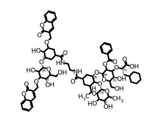 CCC1CC(C(=O)NCCNC(=O)C2CC(OCc3cc4ccccc4oc3=O)C(O)[C@H](O[C@@H]3OC(CO)[C@H](O)C(OCc4cc5ccccc5oc4=O)C3O)C2)C[C@@H](O[C@@H]2OC(CO)[C@H](O)C(O[C@@H](CC3CCCCC3)C(=O)O)C2OC(=O)c2ccccc2)C1O[C@@H]1OC(C)[C@@H](O)C(O)C1O